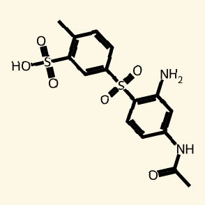 CC(=O)Nc1ccc(S(=O)(=O)c2ccc(C)c(S(=O)(=O)O)c2)c(N)c1